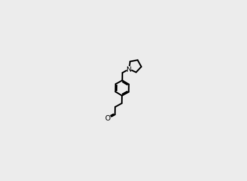 O=CCCc1ccc(CN2CCCC2)cc1